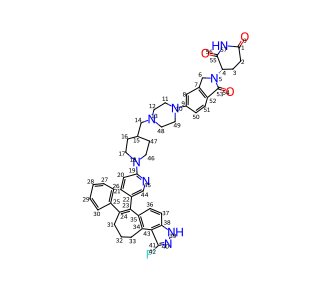 O=C1CC[C@H](N2Cc3cc(N4CCN(CC5CCN(c6ccc(C7=C(c8ccccc8)CCCc8c7ccc7[nH]nc(F)c87)cn6)CC5)CC4)ccc3C2=O)C(=O)N1